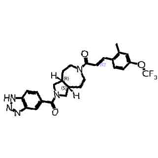 Cc1cc(OC(F)(F)F)ccc1/C=C/C(=O)N1CC[C@@H]2CN(C(=O)c3ccc4[nH]nnc4c3)C[C@@H]2CC1